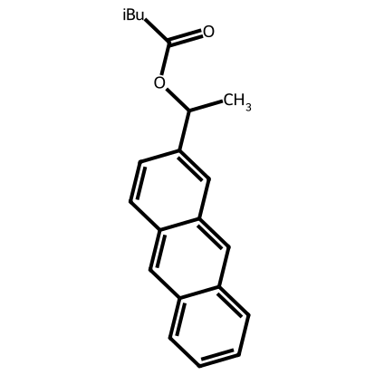 CCC(C)C(=O)OC(C)c1ccc2cc3ccccc3cc2c1